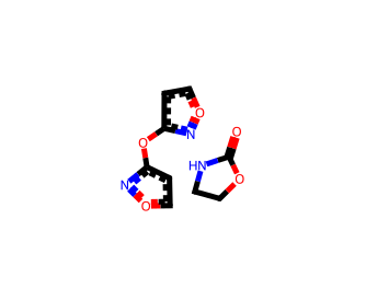 O=C1NCCO1.c1cc(Oc2ccon2)no1